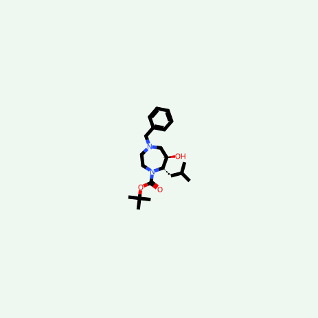 CC(C)C[C@H]1[C@H](O)CN(Cc2ccccc2)CCN1C(=O)OC(C)(C)C